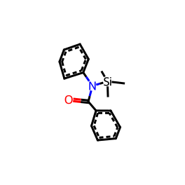 C[Si](C)(C)N(C(=O)c1ccccc1)c1ccccc1